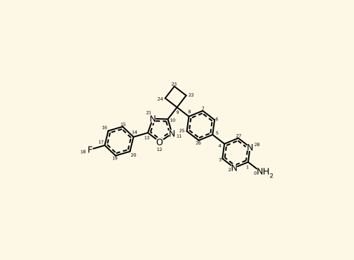 Nc1ncc(-c2ccc(C3(c4noc(-c5ccc(F)cc5)n4)CCC3)cc2)cn1